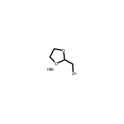 Br.[Zn][CH2]C1OCCO1